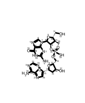 Nc1nc2c(ncn2C2O[C@H](CO)[C@@H](F)[C@H]2OP(=O)(S)OC[C@H]2O[C@@H](c3cnc4c(N)ncnn34)C[C@@H]2O)c(=O)[nH]1